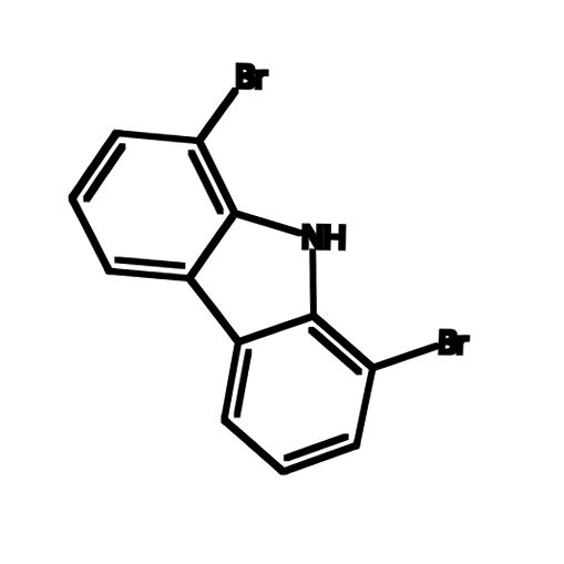 Brc1cccc2c1[nH]c1c(Br)cccc12